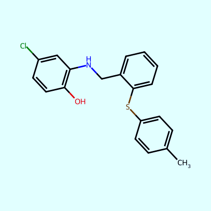 Cc1ccc(Sc2ccccc2CNc2cc(Cl)ccc2O)cc1